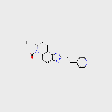 CC1CCc2c(ccc3c2nc(CCc2ccncc2)n3C)N1C(=O)O